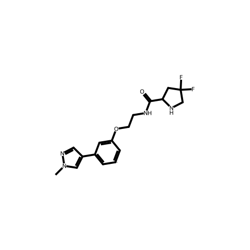 Cn1cc(-c2c[c]cc(OCCNC(=O)C3CC(F)(F)CN3)c2)cn1